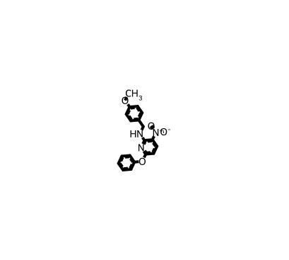 COc1ccc(CNc2nc(Oc3ccccc3)ccc2[N+](=O)[O-])cc1